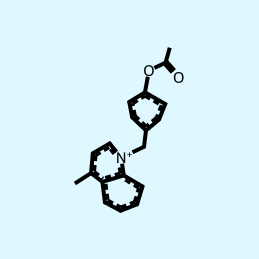 CC(=O)Oc1ccc(C[n+]2ccc(C)c3ccccc32)cc1